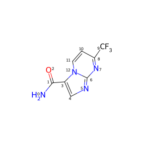 NC(=O)c1cnc2nc(C(F)(F)F)ccn12